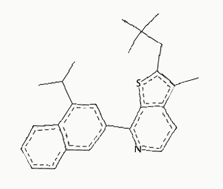 Cc1c(CC(C)(C)C)sc2c(-c3cc(C(C)C)c4ccccc4c3)nccc12